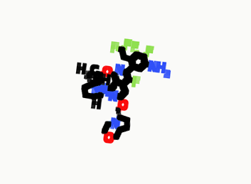 C[C@@H]1Oc2nc(-c3cc(N)c(F)c(F)c3CC(F)F)c(F)c3cc(OC[C@@H]4CCC5COCCN54)nc(c23)N2C[C@H]3CC[C@H](N3)[C@@H]12